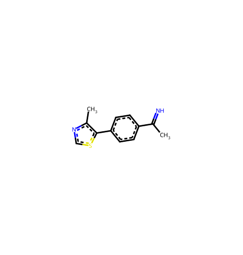 CC(=N)c1ccc(-c2scnc2C)cc1